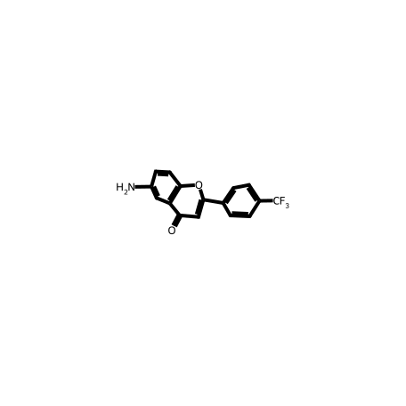 Nc1ccc2oc(-c3ccc(C(F)(F)F)cc3)cc(=O)c2c1